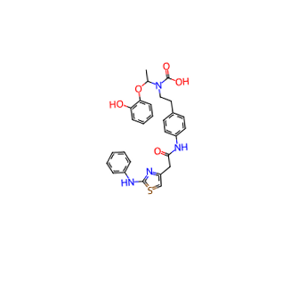 CC(Oc1ccccc1O)N(CCc1ccc(NC(=O)Cc2csc(Nc3ccccc3)n2)cc1)C(=O)O